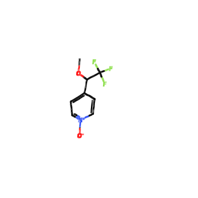 COC(c1cc[n+]([O-])cc1)C(F)(F)F